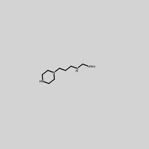 CCCCCCCNCCCN1CCNCC1